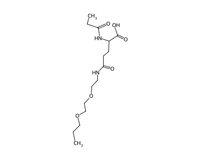 CCCOCCOCCNC(=O)CCC(NC(=O)CC)C(=O)O